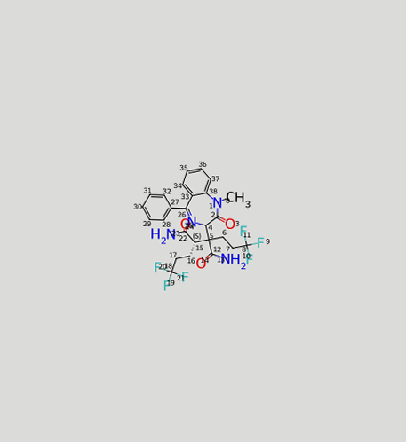 CN1C(=O)C(C(CCC(F)(F)F)(C(N)=O)[C@H](CCC(F)(F)F)C(N)=O)N=C(c2ccccc2)c2ccccc21